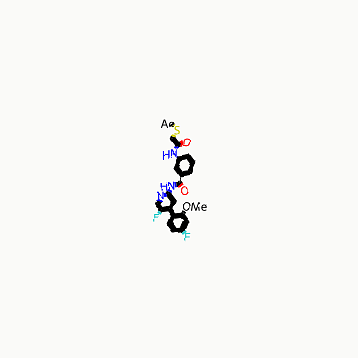 COc1cc(F)ccc1-c1cc(NC(=O)[C@H]2CCC[C@@H](NC(=O)CSC(C)=O)C2)ncc1F